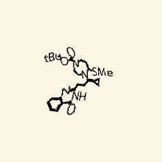 CSC1CCN(C(=O)OC(C)(C)C)CCN1C(CCc1nc2ccccc2c(=O)[nH]1)=C1CC1